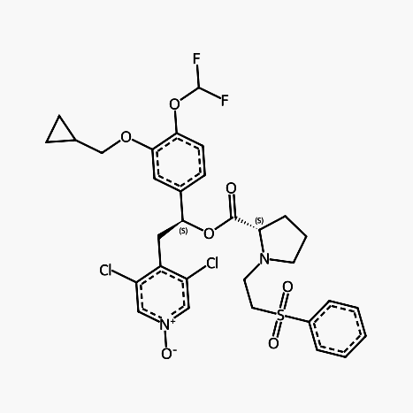 O=C(O[C@@H](Cc1c(Cl)c[n+]([O-])cc1Cl)c1ccc(OC(F)F)c(OCC2CC2)c1)[C@@H]1CCCN1CCS(=O)(=O)c1ccccc1